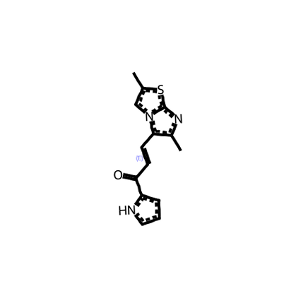 Cc1cn2c(/C=C/C(=O)c3ccc[nH]3)c(C)nc2s1